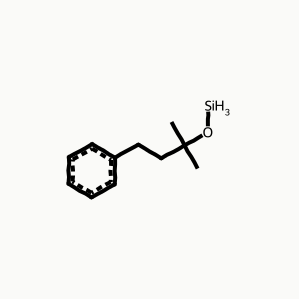 CC(C)(CCc1ccccc1)O[SiH3]